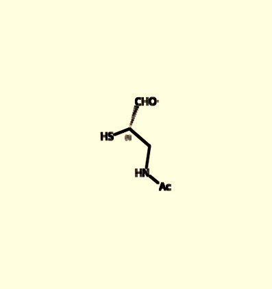 CC(=O)NC[C@H](S)[C]=O